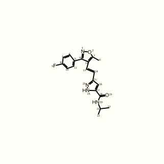 Cc1onc(-c2ccc(F)cc2)c1C=Cc1cc(C(=O)NC(C)C)[nH]n1